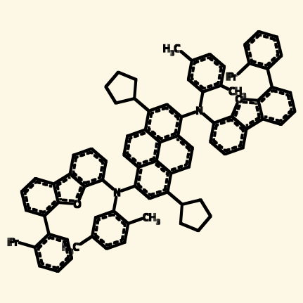 Cc1ccc(C)c(N(c2cc(C3CCCC3)c3ccc4c(N(c5cc(C)ccc5C)c5cccc6c5oc5c(-c7ccccc7C(C)C)cccc56)cc(C5CCCC5)c5ccc2c3c54)c2cccc3c2oc2c(-c4ccccc4C(C)C)cccc23)c1